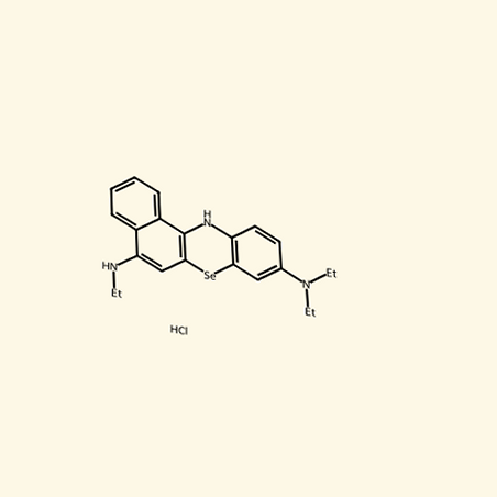 CCNc1cc2c(c3ccccc13)Nc1ccc(N(CC)CC)cc1[Se]2.Cl